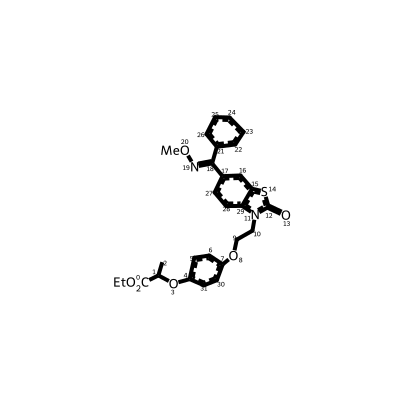 CCOC(=O)C(C)Oc1ccc(OCCn2c(=O)sc3cc(C(=NOC)c4ccccc4)ccc32)cc1